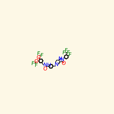 O=C(NCc1ccc(OC(F)F)c(OC(F)F)c1)c1ccc(CN2C=C3C(=O)N(c4ccc(F)c(C(F)(F)F)c4)N=C3CC2)cc1